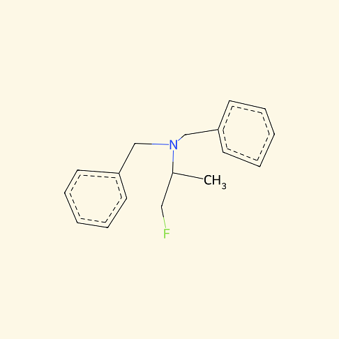 CC(CF)N(Cc1ccccc1)Cc1ccccc1